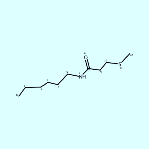 CCCCCCNC(=O)CCSC